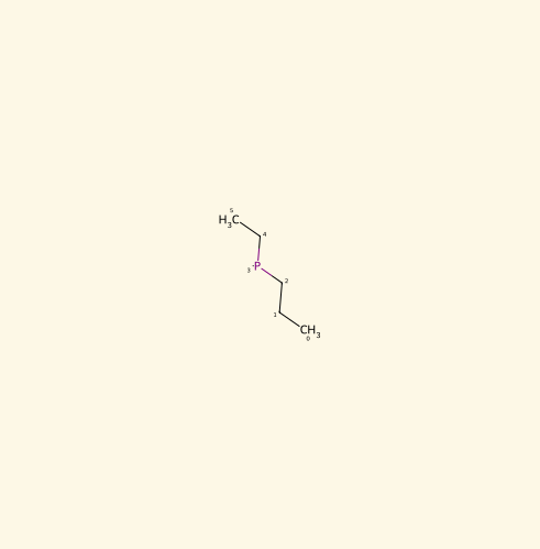 CCC[P]CC